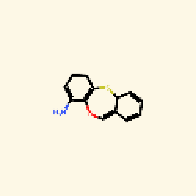 NC1=CCCC2=C1OC=C1C=CC=CC1S2